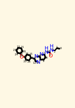 C=CCNC(=O)Nc1ccc2ncc(-c3ccc(Oc4ccccc4)cc3)nc2n1